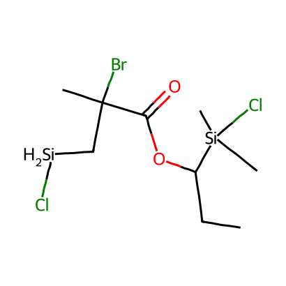 CCC(OC(=O)C(C)(Br)C[SiH2]Cl)[Si](C)(C)Cl